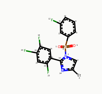 CCc1cn(S(=O)(=O)c2cccc(F)c2)c(-c2cc(F)c(F)cc2F)n1